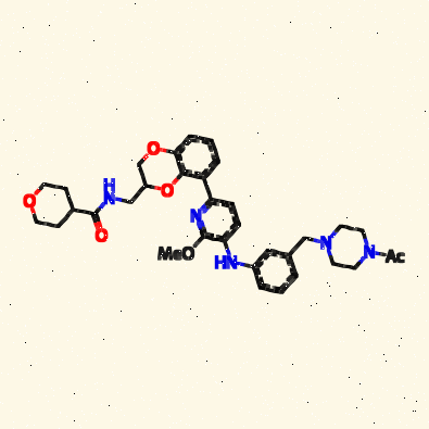 COc1nc(-c2cccc3c2OC(CNC(=O)C2CCOCC2)CO3)ccc1Nc1cccc(CN2CCN(C(C)=O)CC2)c1